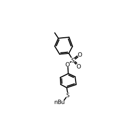 CCCCSc1ccc(OS(=O)(=O)c2ccc(C)cc2)cc1